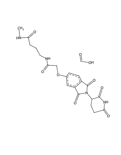 CNC(=O)CCCNC(=O)COc1ccc2c(c1)C(=O)N(C1CCC(=O)NC1=O)C2=O.O=CO